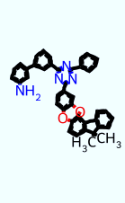 CC1(C)c2ccccc2-c2c1ccc1c2Oc2cc(-c3nc(-c4ccccc4)nc(-c4cccc(-c5cccc(N)c5)c4)n3)ccc2O1